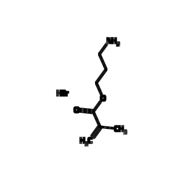 Br.C=C(C)C(=O)OCCCN